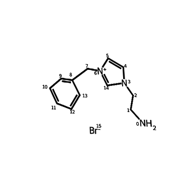 NCCn1cc[n+](Cc2ccccc2)c1.[Br-]